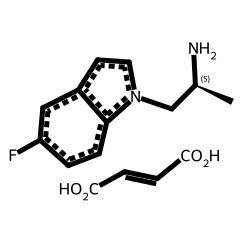 C[C@H](N)Cn1ccc2cc(F)ccc21.O=C(O)C=CC(=O)O